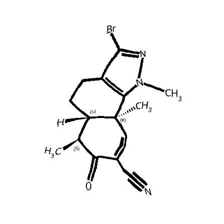 C[C@@H]1C(=O)C(C#N)=C[C@]2(C)c3c(c(Br)nn3C)CC[C@@H]12